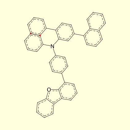 c1ccc(-c2ccc(-c3cccc4ccccc34)cc2N(c2ccccc2)c2ccc(-c3cccc4c3oc3ccccc34)cc2)cc1